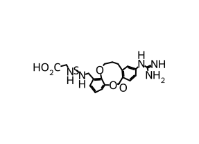 N=C(N)Nc1ccc2c(c1)CCCOc1c(CNSNCC(=O)O)cccc1OC2=O